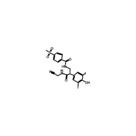 CS(=O)(=O)c1ccc(C(=O)NCC(C(=O)NCC#N)c2cc(I)c(O)c(I)c2)cc1